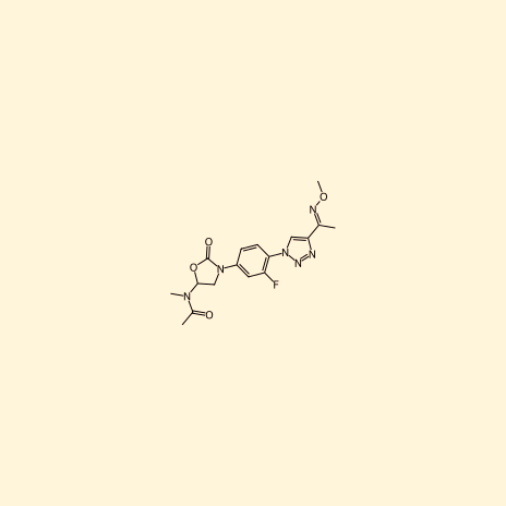 CON=C(C)c1cn(-c2ccc(N3CC(N(C)C(C)=O)OC3=O)cc2F)nn1